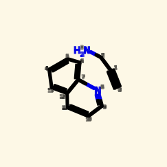 C#CCN.c1ccc2ncccc2c1